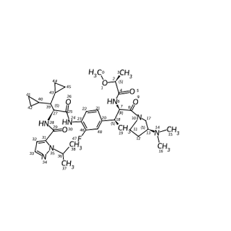 CO[C@@H](C)C(=O)N[C@@H](C(=O)N1CC[C@H](N(C)C)C1)[C@@H](C)c1ccc(NC(=O)[C@@H](NC(=O)c2ccnn2C(C)C)C(C2CC2)C2CC2)c(F)c1